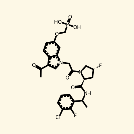 CC(=O)c1cn(CC(=O)N2C[C@H](F)C[C@H]2C(=O)NC(C)c2cccc(Cl)c2F)c2cc(OCP(=O)(O)O)ccc12